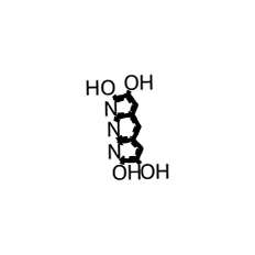 Oc1cc2cc3cc(O)c(O)nc3nc2nc1O